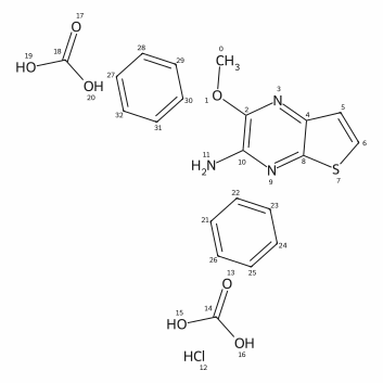 COc1nc2ccsc2nc1N.Cl.O=C(O)O.O=C(O)O.c1ccccc1.c1ccccc1